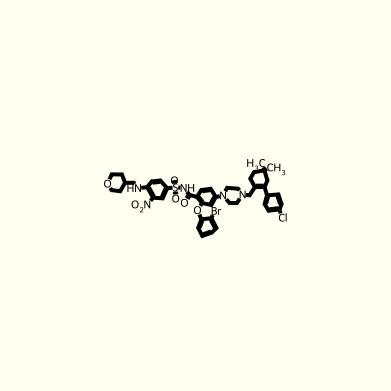 CC1(C)CCC(CN2CCN(c3ccc(C(=O)NS(=O)(=O)c4ccc(NCC5CCOCC5)c([N+](=O)[O-])c4)c(Oc4ccccc4Br)c3)CC2)=C(c2ccc(Cl)cc2)C1